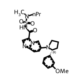 CCCN(C)S(=O)(=O)NC(=O)c1cnc2ccc(N3CCC[C@@H]3c3cccc(OC)c3)cn12